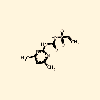 C=CS(=O)(=O)NC(=O)Nc1nc(C)cc(C)n1